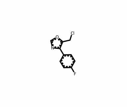 Fc1ccc(-c2ncoc2CCl)cc1